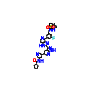 CS(=O)(=O)NCc1cc(F)cc(-c2nccc3[nH]c(-c4n[nH]c5ncc(-c6cncc(NC(=O)C7CCCC7)c6)cc45)nc23)c1